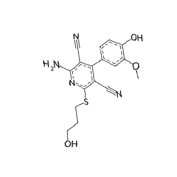 COc1cc(-c2c(C#N)c(N)nc(SCCCO)c2C#N)ccc1O